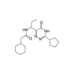 CCC(NC(=O)CC1CCCCC1)c1nnc(C2CCCC2)[nH]c1=O